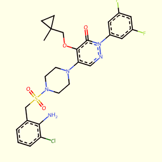 CC1(COc2c(N3CCN(S(=O)(=O)Cc4cccc(Cl)c4N)CC3)cnn(-c3cc(F)cc(F)c3)c2=O)CC1